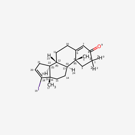 [2H]C1([2H])C[C@@]2(C)C(=CC1=O)CC[C@@H]1[C@@H]2CC[C@]2(C)C(I)=CC[C@@H]12